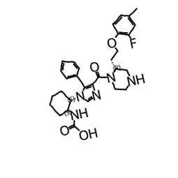 Cc1ccc(OCC[C@@H]2CNCCN2C(=O)c2ncn([C@H]3CCCC[C@@H]3NC(=O)O)c2-c2ccccc2)c(F)c1